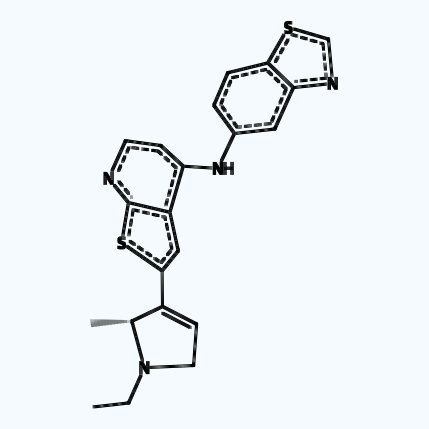 CCN1CC=C(c2cc3c(Nc4ccc5scnc5c4)ccnc3s2)[C@H]1C